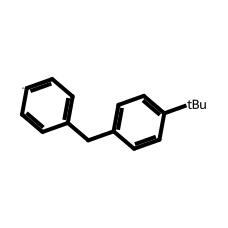 CC(C)(C)c1ccc(Cc2cc[c]cc2)cc1